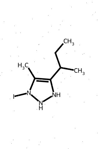 CCC(C)C1=C(C)N(I)NN1